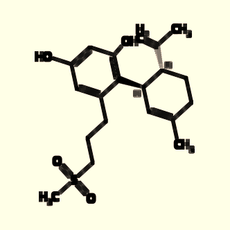 C=C(C)[C@@H]1CCC(C)=C[C@H]1c1c(O)cc(O)cc1CCCS(C)(=O)=O